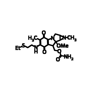 CCSCCNC1=C(C)C(=O)C2=C(C1=O)C(COC(N)=O)C1(OC)C3C(CN21)N3C